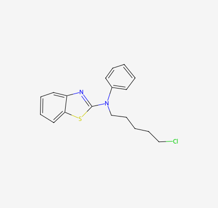 ClCCCCCN(c1ccccc1)c1nc2ccccc2s1